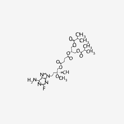 C#C[C@](CCn1cnc2c(N)nc(F)nc21)(COC(=O)CCC(=O)OC(COC(=O)C(C)C)COC(=O)C(C)C)OC